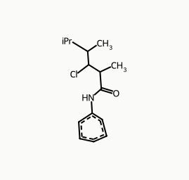 CC(C)C(C)C(Cl)C(C)C(=O)Nc1ccccc1